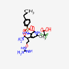 CCCc1ccc(S(=O)(=O)Nc2c(C(CCONC(=N)N)C(N)=O)cc(C)[nH]c2=O)cc1.O=C(O)C(F)(F)F